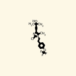 Cc1c(C#CC(C)(C)O)nc(Cl)n1CCc1ccc(OC(F)(F)F)cc1